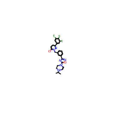 CC(C)N1CCN(c2nc(-c3cccc(Cn4nc(-c5cc(F)c(F)c(F)c5)ccc4=O)c3)no2)CC1